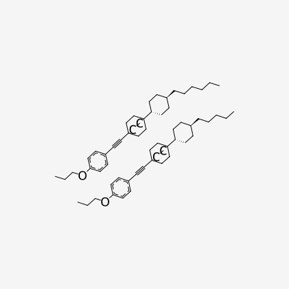 CCCCCC[C@H]1CC[C@H](C23CCC(C#Cc4ccc(OCCC)cc4)(CC2)CC3)CC1.CCCCC[C@H]1CC[C@H](C23CCC(C#Cc4ccc(OCCC)cc4)(CC2)CC3)CC1